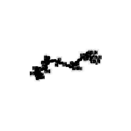 CC(=O)NC(CCCSSCCC(=O)NCC#Cc1cn(C2CC(O)C(COP(=O)(O)OP(=O)(O)OP(=O)(O)O)O2)c(=O)[nH]c1=O)C(=O)NCCCCCC(=O)NC(CC(=O)O)C(=O)NC(CC(=O)O)C(=O)O